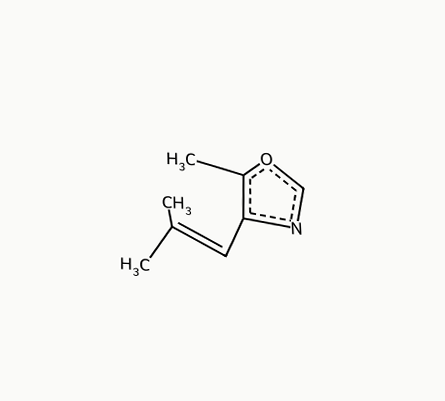 CC(C)=Cc1ncoc1C